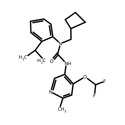 Cc1cc(OC(F)F)c(NC(=O)N(CC2CCC2)c2ccccc2C(C)C)cn1